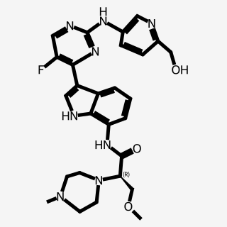 COC[C@H](C(=O)Nc1cccc2c(-c3nc(Nc4ccc(CO)nc4)ncc3F)c[nH]c12)N1CCN(C)CC1